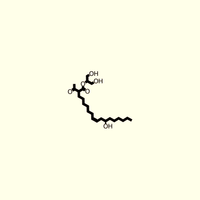 CCCCCC[C@@H](O)C/C=C\CCCCCCC(C(C)=O)C(=O)OC(CO)CO